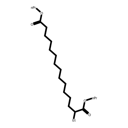 CCCOC(=O)CCCCCCCCCCCCC(CC)C(=O)OCCC